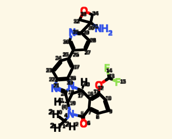 [2H]C([2H])([2H])N1C(=O)c2cccc(OC(F)F)c2[C@H]2C[C@@H]1c1nc3ccc(-c4ccc(C5(N)COC5)nc4)cc3n12